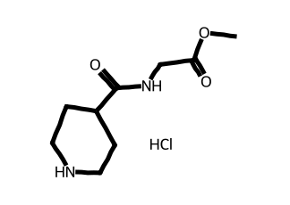 COC(=O)CNC(=O)C1CCNCC1.Cl